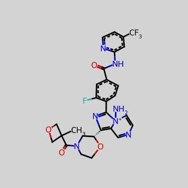 CC1(C(=O)N2CCO[C@@H](C3=C4C=NC=C[N+]4(N)C(c4ccc(C(=O)Nc5cc(C(F)(F)F)ccn5)cc4F)=N3)C2)COC1